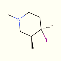 C[C@H]1CN(C)CC[C@@]1(C)I